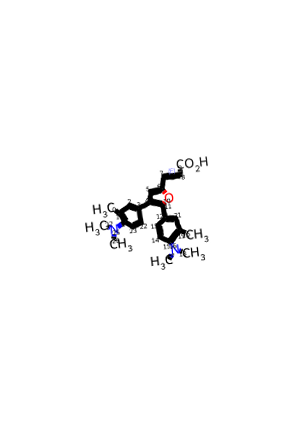 Cc1cc(-c2cc(/C=C/C(=O)O)oc2-c2ccc(N(C)C)c(C)c2)ccc1N(C)C